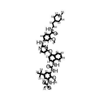 COc1cc(Nc2nccc(Oc3ccc(NC(=O)Nc4cc(C(C)(C)C)cc(NS(C)(=O)=O)c4OC)c4ccccc34)n2)ccc1C(=O)NCCC1CCN(C)CC1